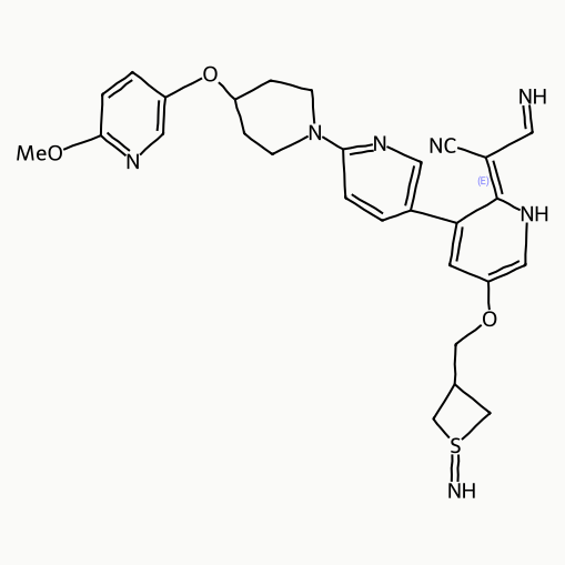 COc1ccc(OC2CCN(c3ccc(C4=CC(OCC5CS(=N)C5)=CN/C4=C(/C#N)C=N)cn3)CC2)cn1